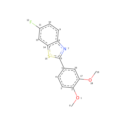 COc1ccc(-c2nc3ccc(F)cc3s2)cc1OC